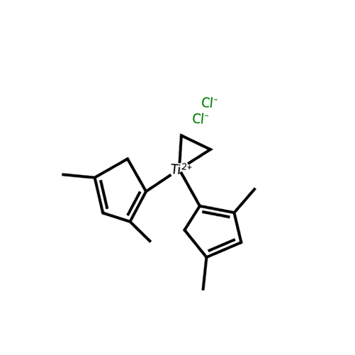 CC1=CC(C)=[C]([Ti+2]2([C]3=C(C)C=C(C)C3)[CH2][CH2]2)C1.[Cl-].[Cl-]